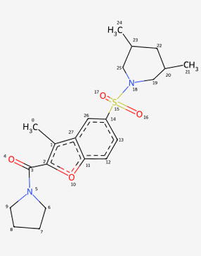 Cc1c(C(=O)N2CCCC2)oc2ccc(S(=O)(=O)N3CC(C)CC(C)C3)cc12